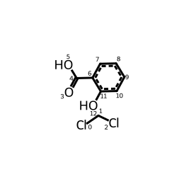 ClCCl.O=C(O)c1ccccc1O